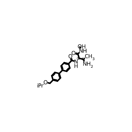 CC(C)OCc1ccc(-c2ccc(C(=O)N[C@H](C(=O)NO)[C@@H](C)N)cc2)cc1